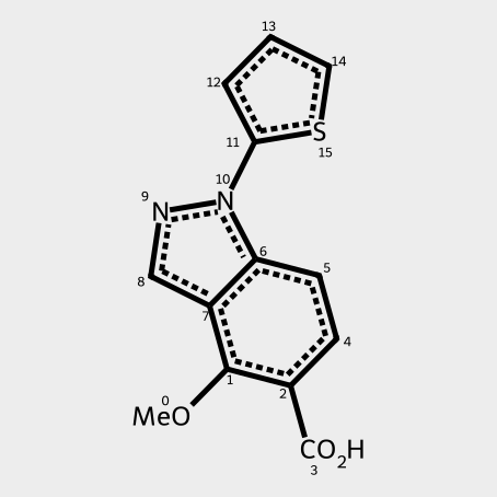 COc1c(C(=O)O)ccc2c1cnn2-c1cccs1